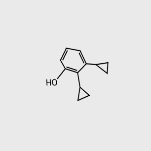 Oc1cccc(C2CC2)c1C1CC1